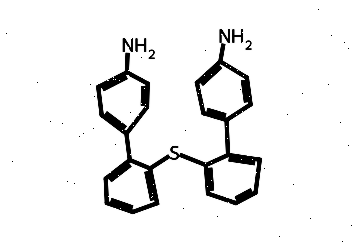 Nc1ccc(-c2ccccc2Sc2ccccc2-c2ccc(N)cc2)cc1